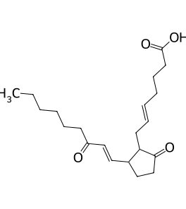 CCCCCCC(=O)C=CC1CCC(=O)C1CC=CCCCC(=O)O